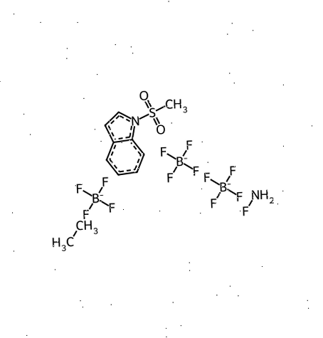 CC.CS(=O)(=O)n1ccc2ccccc21.F[B-](F)(F)F.F[B-](F)(F)F.F[B-](F)(F)F.NF